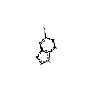 C[CH]c1ccc2sccc2c1